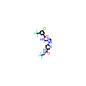 C[C@H](NC(=O)c1cc(Cl)cc(C(F)(F)F)c1)c1ncnn1-c1ccc(C(=O)NCC(F)(F)F)cn1